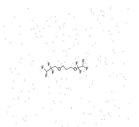 FC(F)C(F)(F)COCCCOC(F)(F)C(F)F